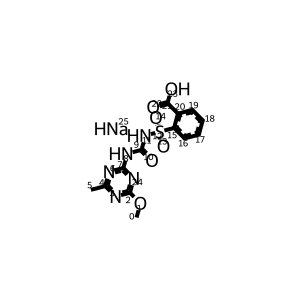 COc1nc(C)nc(NC(=O)NS(=O)(=O)c2ccccc2C(=O)O)n1.[NaH]